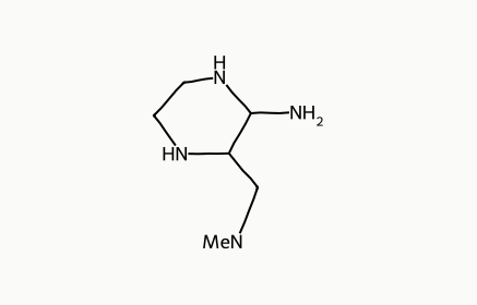 CNCC1NCCNC1N